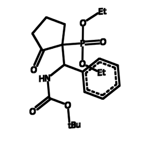 CCOP(=O)(OCC)C1(C(NC(=O)OC(C)(C)C)c2ccccc2)CCCC1=O